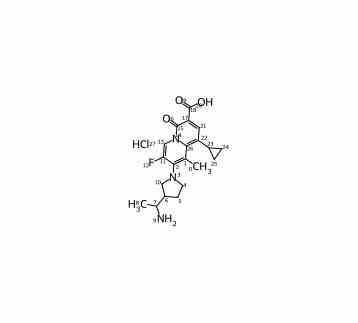 Cc1c(N2CCC(C(C)N)C2)c(F)cn2c(=O)c(C(=O)O)cc(C3CC3)c12.Cl